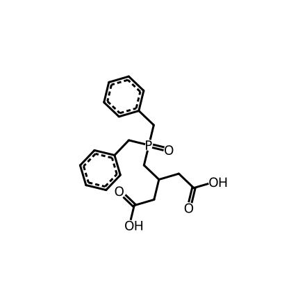 O=C(O)CC(CC(=O)O)CP(=O)(Cc1ccccc1)Cc1ccccc1